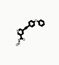 O=S=NC(=O)c1cncc(C#Cc2ccc(Oc3ccccc3)cc2)c1